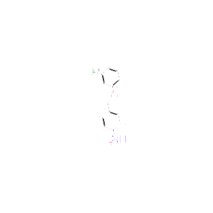 ONC1C=CC(COc2cccc(Cl)c2)=CC1